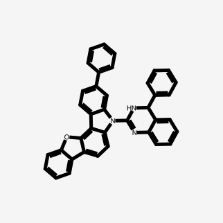 c1ccc(-c2ccc3c4c5oc6ccccc6c5ccc4n(C4=Nc5ccccc5C(c5ccccc5)N4)c3c2)cc1